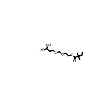 CCC(C)(C)C(=O)OCCOCOCCC(O)O